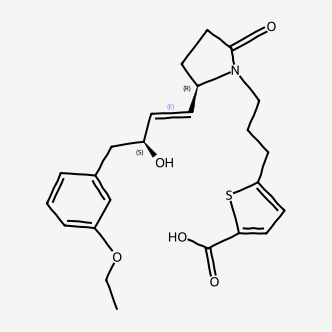 CCOc1cccc(C[C@H](O)/C=C/[C@H]2CCC(=O)N2CCCc2ccc(C(=O)O)s2)c1